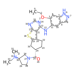 CCOc1cc2[nH]ncc2cc1Nc1ncnc2sc3c(c12)CC[C@H](C(=O)N1CC[C@@H](N(C)C)C1)C3